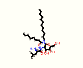 CCCCCCCCCCCCN(C(=O)CCCCCCC)C1OC(CO)C(O)C(O)C1NC(=O)C(N)CC(C)C